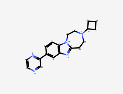 c1cnc(-c2ccc3c(c2)nc2n3CCN(C3CCC3)CC2)cn1